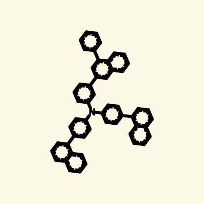 c1ccc(-c2cc(-c3cccc(N(c4ccc(-c5cccc6ccccc56)cc4)c4ccc(-c5cccc6ccccc56)cc4)c3)cc3ccccc23)cc1